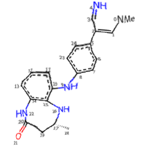 CN/C=C(\C=N)c1ccc(Nc2cccc3c2N[C@H](C)CC(=O)N3)cc1